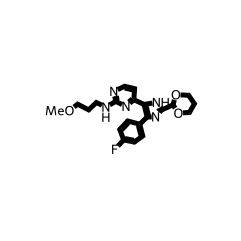 COCCCNc1nccc(-c2[nH]c(C3OCCCO3)nc2-c2ccc(F)cc2)n1